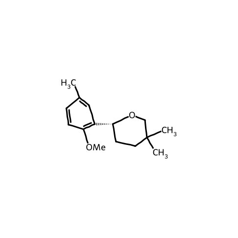 COc1ccc(C)cc1[C@H]1CCC(C)(C)CO1